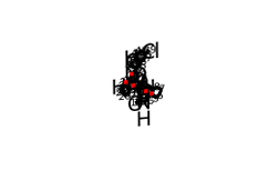 O=C(NC1CCCCC1)C(=O)[C@H](C[C@@H]1CCCNC1=O)NC(=O)[C@H](Cc1ccccc1)NC(=O)C1C=C2C=C(Cl)C=CC2OC1